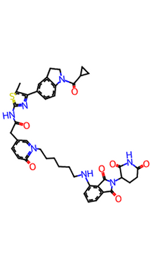 Cc1sc(NC(=O)Cc2ccc(=O)n(CCCCCCNc3cccc4c3C(=O)N(C3CCC(=O)NC3=O)C4=O)c2)nc1-c1ccc2c(c1)CCN2C(=O)C1CC1